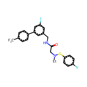 CCN(CC(=O)NCc1cc(F)cc(-c2ccc(C(F)(F)F)cc2)c1)Sc1ccc(F)cc1